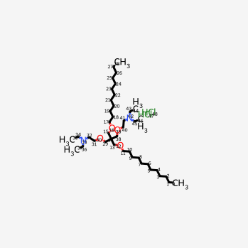 CCCCCCCCCCCCOCC(COCCCCCCCCCCCC)(COCCN(CC)CC)COCCN(CC)CC.Cl.Cl